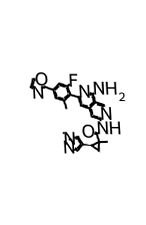 Cc1cc(-c2ncco2)cc(F)c1-c1cc2cc(NC(=O)C3(C)C[C@H]3c3cnn(C)c3)ncc2c(N)n1